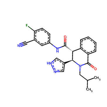 CC(C)CN1C(=O)c2ccccc2[C@@H](C(=O)Nc2ccc(F)c(C#N)c2)[C@@H]1c1cn[nH]c1